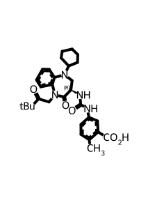 Cc1ccc(NC(=O)N[C@@H]2CN(C3CCCCC3)c3ccccc3N(CC(=O)C(C)(C)C)C2=O)cc1C(=O)O